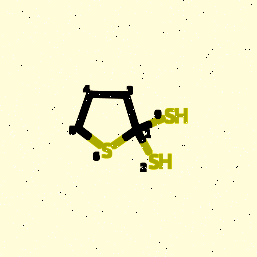 SC1(S)CCCS1